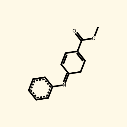 COC(=O)C1=CCC(=Nc2ccccc2)C=C1